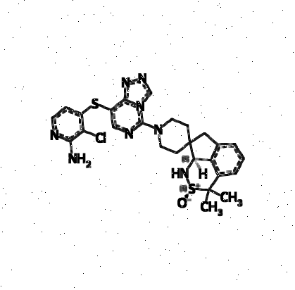 CC1(C)c2cccc3c2[C@@H](N[S@+]1[O-])C1(CCN(c2ncc(Sc4ccnc(N)c4Cl)c4nncn24)CC1)C3